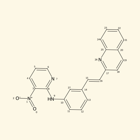 O=[N+]([O-])c1cccnc1Nc1cccc(C=Cc2ccc3ccccc3n2)c1